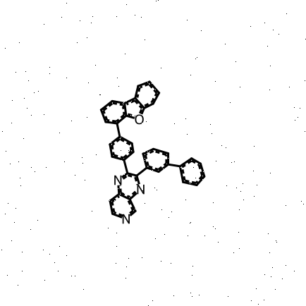 c1ccc(-c2cccc(-c3nc4cnccc4nc3-c3ccc(-c4cccc5c4oc4ccccc45)cc3)c2)cc1